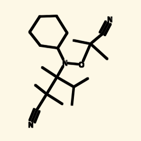 CC(C)C(C)(N(OC(C)(C)C#N)C1CCCCC1)C(C)(C)C#N